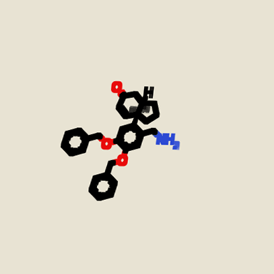 NCc1cc(OCc2ccccc2)c(OCc2ccccc2)cc1[C@@]12C=CC(=O)C[C@@H]1CCC2